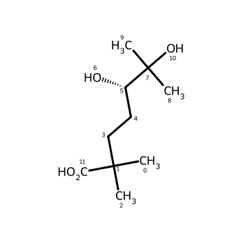 CC(C)(CC[C@H](O)C(C)(C)O)C(=O)O